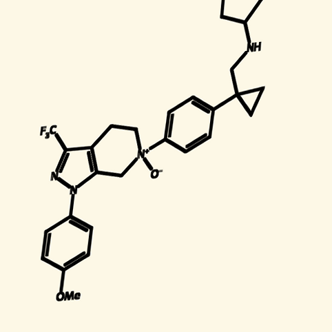 COc1ccc(-n2nc(C(F)(F)F)c3c2C[N+]([O-])(c2ccc(C4(CNC5CCCC5)CC4)cc2)CC3)cc1